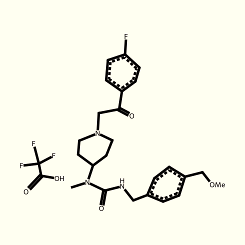 COCc1ccc(CNC(=O)N(C)C2CCN(CC(=O)c3ccc(F)cc3)CC2)cc1.O=C(O)C(F)(F)F